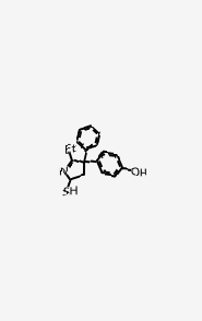 CCC1=NC(S)CC1(c1ccccc1)c1ccc(O)cc1